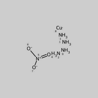 N.N.N.N.O=[N+]([O-])[O-].[Cu]